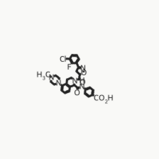 CN1CCN(c2cccc3c2CCN(C(=O)C2CC(c4cccc(Cl)c4F)=NO2)C3C(=O)Nc2ccc(C(=O)O)cc2)CC1